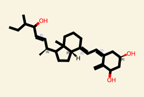 C=C1/C(=C\C=C2/CCCC3(C)C([C@@H](C)/C=C/C(O)C(C)CC)CC[C@@H]23)C[C@@H](O)CC1O